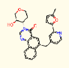 Cc1ccc(-c2cc(Cc3cc4c(=O)n([C@H]5CCOC[C@@H]5O)cnc4c4ccccc34)ccn2)o1